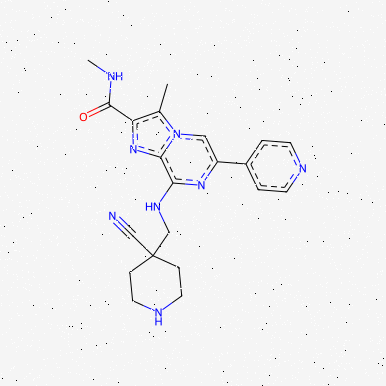 CNC(=O)c1nc2c(NCC3(C#N)CCNCC3)nc(-c3ccncc3)cn2c1C